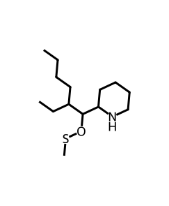 CCCCC(CC)C(OSC)C1CCCCN1